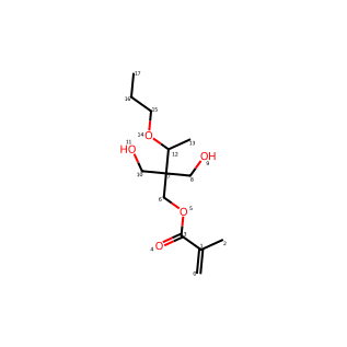 C=C(C)C(=O)OCC(CO)(CO)C(C)OCCC